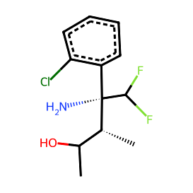 CC(O)[C@@H](C)[C@@](N)(c1ccccc1Cl)C(F)F